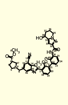 COC(=O)[C@@H]1CCN(Cc2cc(C#N)c3oc(-c4cccc(-c5cccc(NC(=O)c6cc7n(n6)CCCC7O)c5C)c4C)nc3c2)C1